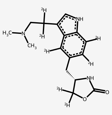 [2H]c1c(C[C@@H]2NC(=O)OC2([2H])[2H])c([2H])c2c(C([2H])([2H])CN(C)C)c[nH]c2c1[2H]